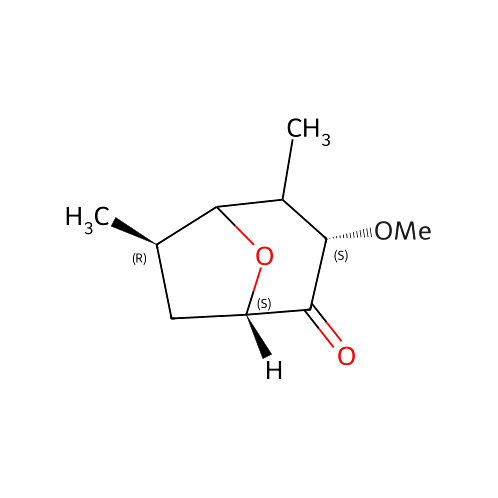 CO[C@@H]1C(=O)[C@@H]2C[C@@H](C)C(O2)C1C